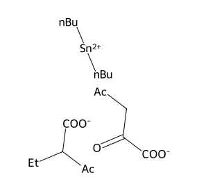 CC(=O)CC(=O)C(=O)[O-].CCC(C(C)=O)C(=O)[O-].CCC[CH2][Sn+2][CH2]CCC